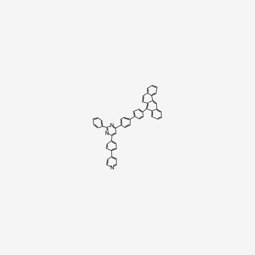 c1ccc(-c2nc(-c3ccc(-c4ccncc4)cc3)cc(-c3ccc(-c4ccc(-c5c6ccccc6cc6c5ccc5ccccc56)cc4)cc3)n2)cc1